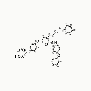 CCOC(Cc1ccc(OCCN(CCCOCc2ccccc2)C(=O)Nc2ccc(Oc3ccccc3)cc2)cc1)C(=O)O